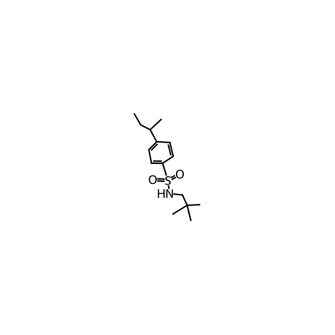 CCC(C)c1ccc(S(=O)(=O)NCC(C)(C)C)cc1